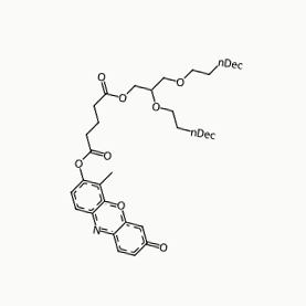 CCCCCCCCCCCCOCC(COC(=O)CCCC(=O)Oc1ccc2nc3ccc(=O)cc-3oc2c1C)OCCCCCCCCCCCC